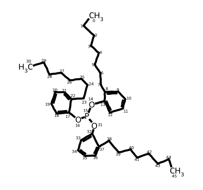 CCCCCCCCc1ccccc1OP(Oc1ccccc1CCCCCCCC)Oc1ccccc1CCCCCCCC